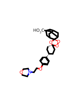 O=C(O)C12CC3CC(C1)[C@]1(OO[C@]4(CC[C@@H](c5ccc(OCCN6CCOCC6)cc5)CC4)O1)C(C3)C2